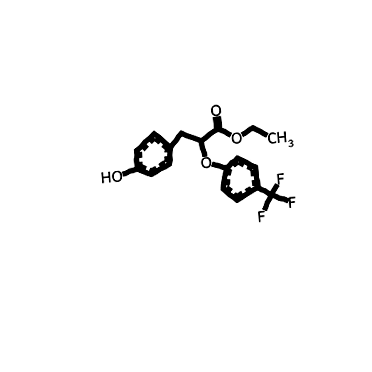 CCOC(=O)C(Cc1ccc(O)cc1)Oc1ccc(C(F)(F)F)cc1